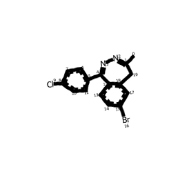 CC1=NN=C(c2ccc(Cl)cc2)c2ccc(Br)cc2C1